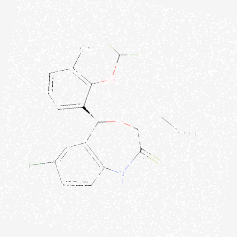 CCOC(=O)C[C@H]1O[C@H](c2cccc(OC)c2OC(F)F)c2cc(Cl)ccc2NC1=S